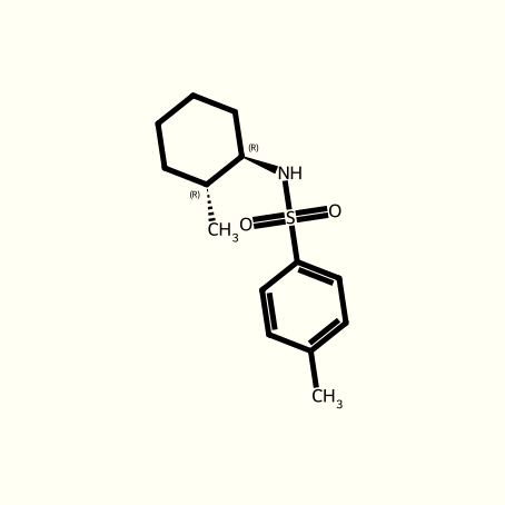 Cc1ccc(S(=O)(=O)N[C@@H]2CCCC[C@H]2C)cc1